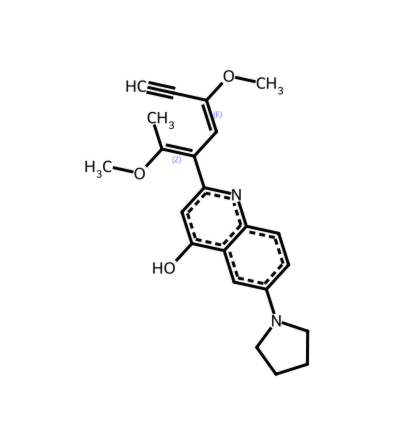 C#C/C(=C\C(=C(/C)OC)c1cc(O)c2cc(N3CCCC3)ccc2n1)OC